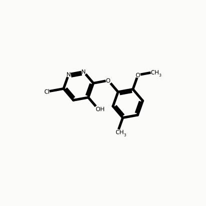 COc1ccc(C)cc1Oc1nnc(Cl)cc1O